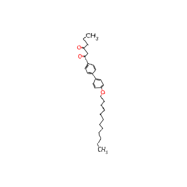 CCCCCCCCCCCCOc1ccc(-c2ccc(C(=O)CC(=O)CCC)cc2)cc1